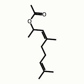 CC(=O)OC(C)C=C(C)CCC=C(C)C